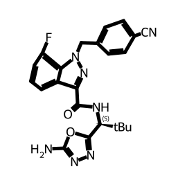 CC(C)(C)[C@H](NC(=O)c1nn(Cc2ccc(C#N)cc2)c2c(F)cccc12)c1nnc(N)o1